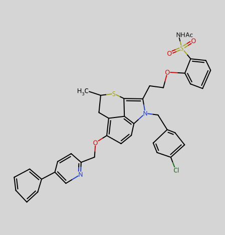 CC(=O)NS(=O)(=O)c1ccccc1OCCc1c2c3c(c(OCc4ccc(-c5ccccc5)cn4)ccc3n1Cc1ccc(Cl)cc1)CC(C)S2